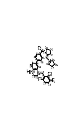 O=C(c1ccc(-c2cnc3c(c2)N(Cc2c(F)ccc(F)c2Cl)CCN3)cc1)N1CCC[C@H]1CN1CCCC1